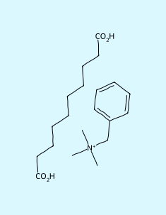 C[N+](C)(C)Cc1ccccc1.O=C(O)CCCCCCCCC(=O)O